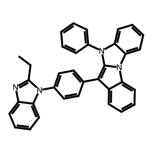 CCc1nc2ccccc2n1-c1ccc(-c2c3ccccc3n3c4ccccc4n(-c4ccccc4)c23)cc1